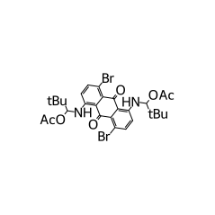 CC(=O)OC(Nc1ccc(Br)c2c1C(=O)c1c(Br)ccc(NC(OC(C)=O)C(C)(C)C)c1C2=O)C(C)(C)C